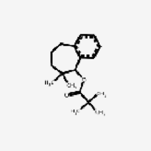 CC(C)(C)C(=O)OC1c2ccccc2CCCC1(C)C